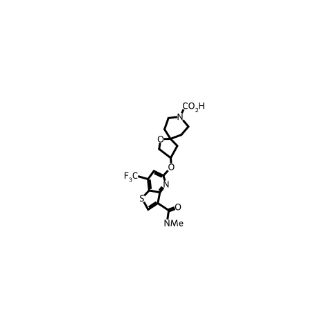 CNC(=O)c1csc2c(C(F)(F)F)cc(OC3COC4(CCN(C(=O)O)CC4)C3)nc12